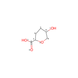 O=C(O)C1CCC(O)CO1